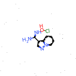 N=C(N)c1cnn2ccccc12.OCl